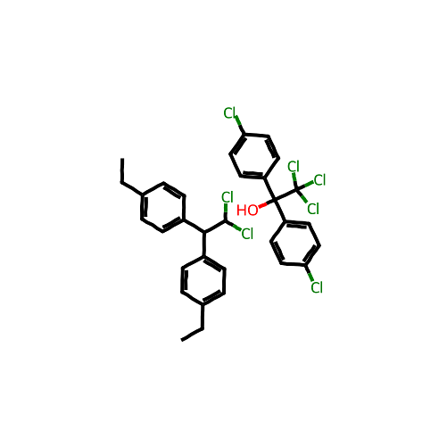 CCc1ccc(C(c2ccc(CC)cc2)C(Cl)Cl)cc1.OC(c1ccc(Cl)cc1)(c1ccc(Cl)cc1)C(Cl)(Cl)Cl